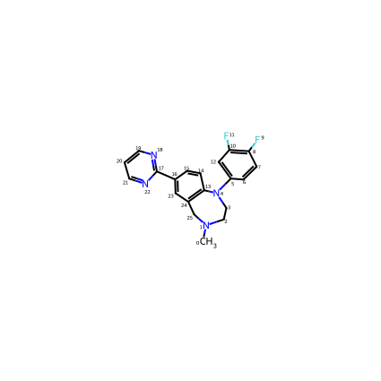 CN1CCN(c2ccc(F)c(F)c2)c2ccc(-c3ncccn3)cc2C1